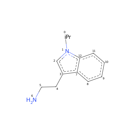 CC(C)n1cc(CCN)c2ccccc21